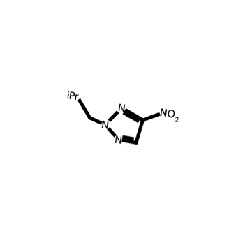 CC(C)Cn1ncc([N+](=O)[O-])n1